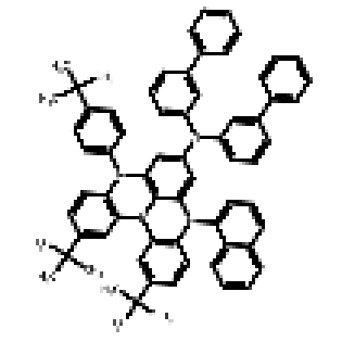 CC(C)(C)c1ccc(N2c3ccc(C(C)(C)C)cc3B3c4cc(C(C)(C)C)ccc4N(c4cccc5ccccc45)c4cc(N(c5cccc(-c6ccccc6)c5)c5cccc(-c6ccccc6)c5)cc2c43)cc1